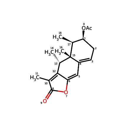 CC(=O)O[C@H]1CC=C2C=C3OC(=O)C(C)=C3[C@H](C)[C@]2(C)[C@H]1C